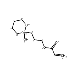 C=CC(=O)OCCC[Si]1(O)CCCCO1